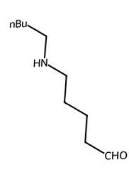 CCCCCNCCCCC=O